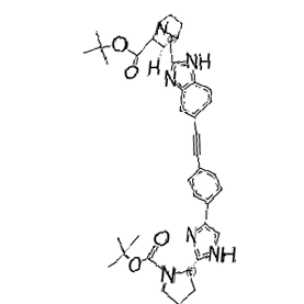 CC(C)(C)OC(=O)N1CCC[C@H]1c1nc(-c2ccc(C#Cc3ccc4[nH]c([C@@H]5C6CCC(CC6)N5C(=O)OC(C)(C)C)nc4c3)cc2)c[nH]1